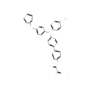 C=C(C)C(=O)Oc1ccc(-c2ccc(N(c3ccc(C)cc3)c3ccc(Oc4ccccc4)cc3)cc2)cc1